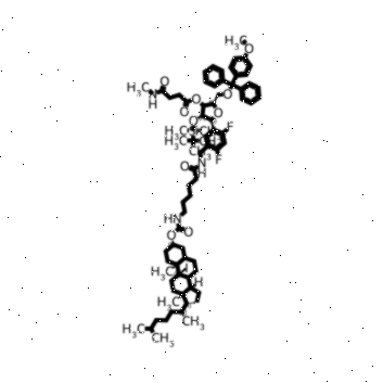 CNC(=O)CCC(=O)OC1[C@@H](COC(c2ccccc2)(c2ccccc2)c2ccc(OC)cc2)O[C@@H](c2cc(CNC(=O)CCCCCNC(=O)O[C@H]3CC[C@@]4(C)C(CCC5[C@@H]6CC[C@H]([C@H](C)CCCC(C)C)[C@@]6(C)CC[C@@]54I)C3)c(F)cc2F)[C@H]1O[Si](C)(C)C(C)(C)C